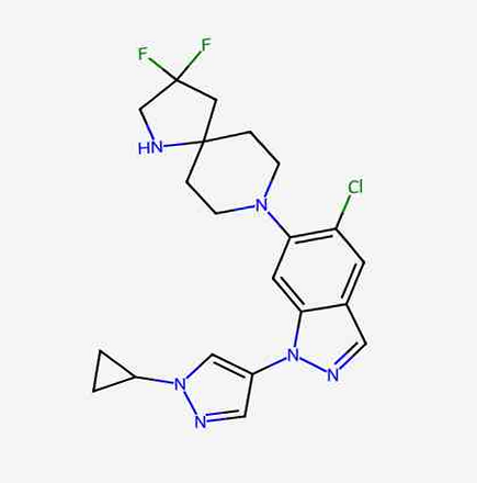 FC1(F)CNC2(CCN(c3cc4c(cnn4-c4cnn(C5CC5)c4)cc3Cl)CC2)C1